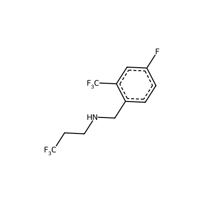 Fc1ccc(CNCCC(F)(F)F)c(C(F)(F)F)c1